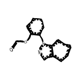 O=COc1ccccc1-n1ncc2ccccc21